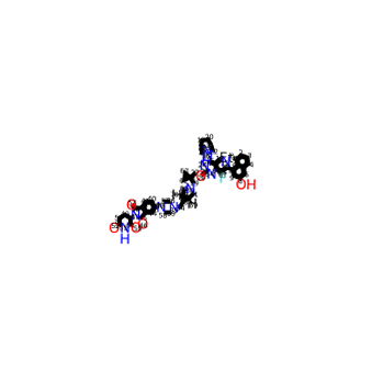 CCc1cccc2cc(O)cc(-c3ncc4c(N5CC6CCC(C5)N6)nc(OCC5(CN6C[C@@H]7C(CN8CCN(c9ccc%10c(c9)C(=O)N(C9CCC(=O)NC9=O)C%10=O)CC8)[C@@H]7C6)CC5)nc4c3F)c12